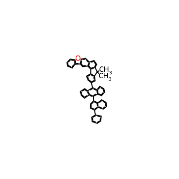 CC1(C)c2cc(-c3c4ccccc4c(-c4ccc(-c5ccccc5)c5ccccc45)c4ccccc34)ccc2-c2c1ccc1cc3oc4ccccc4c3cc21